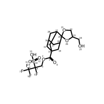 O=C(OCC(F)(C(F)(F)F)S(=O)(=O)O)C12CC3CC(C1)C1(OCC(CO)O1)C(C3)C2